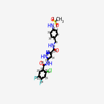 CS(=O)(=O)Nc1ccc(CNC(=O)c2cc(NC(=O)c3cc(F)c(F)cc3Cl)[nH]n2)cc1